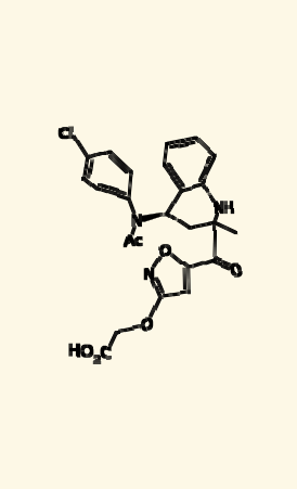 CC(=O)N(c1ccc(Cl)cc1)[C@@H]1CC(C)(C(=O)c2cc(OCC(=O)O)no2)Nc2ccccc21